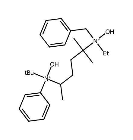 CC[N+](O)(Cc1ccccc1)C(C)(C)CCC(C)[N+](O)(c1ccccc1)C(C)(C)C